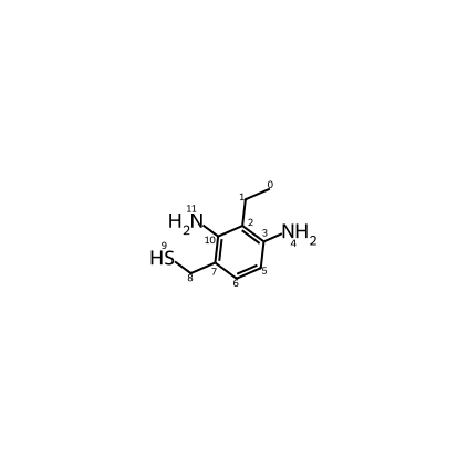 CCc1c(N)ccc(CS)c1N